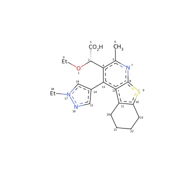 CCO[C@H](C(=O)O)c1c(C)nc2sc3c(c2c1-c1cnn(CC)c1)CCCC3